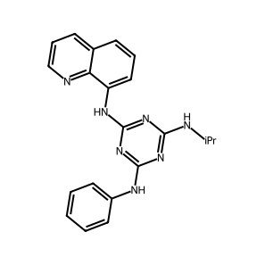 CC(C)Nc1nc(Nc2ccccc2)nc(Nc2cccc3cccnc23)n1